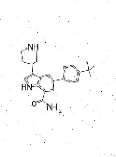 CC(C)(C)c1ccc(-c2cc(C(N)=O)c3[nH]cc(C4CCNCC4)c3c2)cc1